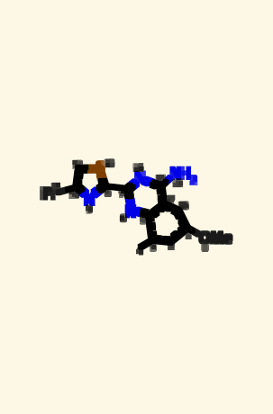 COc1cc(C)c2nc(-c3nc(C(C)C)cs3)nc(N)c2c1